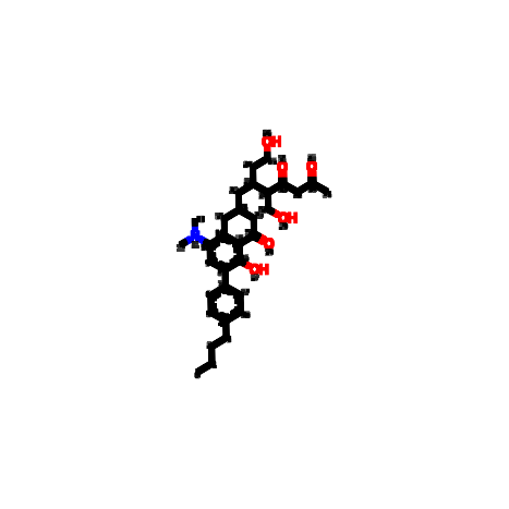 CCCCc1ccc(-c2cc(N(C)C)c3c(c2O)C(=O)CC(CC(CCO)C(CO)C(=O)CC(C)=O)C3)cc1